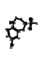 CS(=O)(=O)N1CCNc2ncc(Br)cc2C1